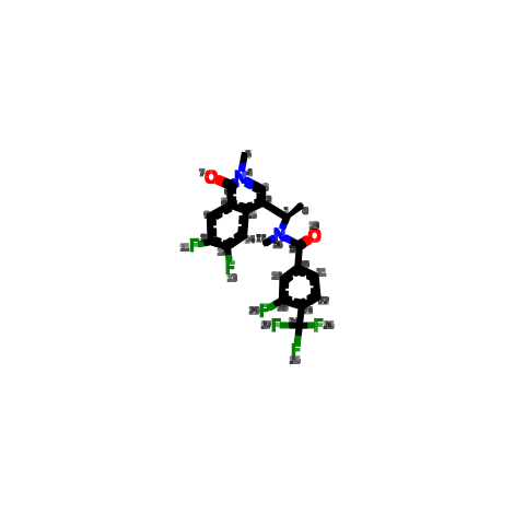 C[C@H](c1cn(C)c(=O)c2cc(F)c(F)cc12)N(C)C(=O)c1ccc(C(F)(F)F)c(F)c1